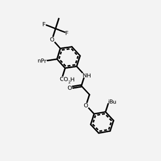 CCCc1c(OC(C)(F)F)ccc(NC(=O)COc2ccccc2C(C)CC)c1C(=O)O